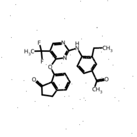 CCc1cc(C(C)=O)ccc1Nc1ncc(C(C)(F)F)c(Oc2cccc3c2C(=O)CC3)n1